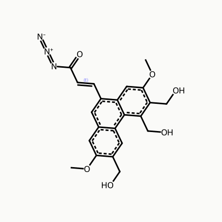 COc1cc2cc(/C=C/C(=O)N=[N+]=[N-])c3cc(OC)c(CO)c(CO)c3c2cc1CO